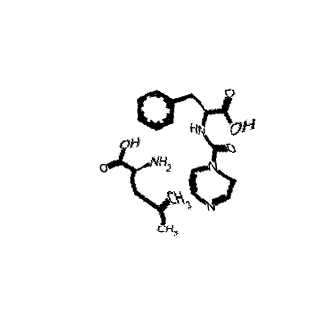 CC(C)C[C@H](N)C(=O)O.O=C(O)[C@H](Cc1ccccc1)NC(=O)N1C=CN=CC1